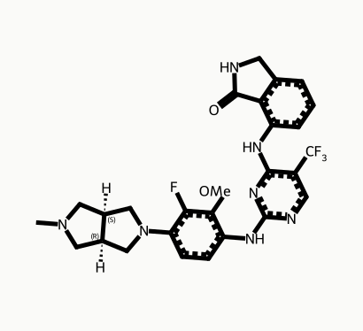 COc1c(Nc2ncc(C(F)(F)F)c(Nc3cccc4c3C(=O)NC4)n2)ccc(N2C[C@H]3CN(C)C[C@H]3C2)c1F